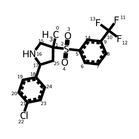 CC1(S(=O)(=O)c2cccc(C(F)(F)F)c2)CNC(c2ccc(Cl)cc2)C1